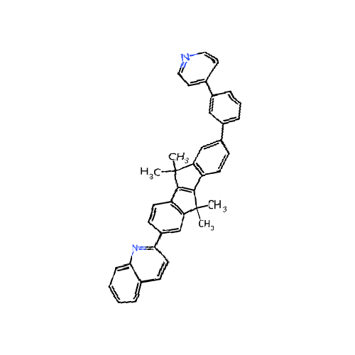 CC1(C)C2=C(c3ccc(-c4cccc(-c5ccncc5)c4)cc31)C(C)(C)c1cc(-c3ccc4ccccc4n3)ccc12